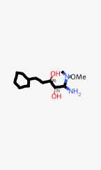 CON(C)C(N)[C@H](O)[C@H](O)CCC1CCCCC1